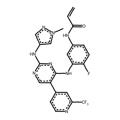 C=CC(=O)Nc1ccc(F)c(Nc2nc(Nc3cnn(C)c3)ncc2-c2ccnc(C(F)(F)F)c2)c1